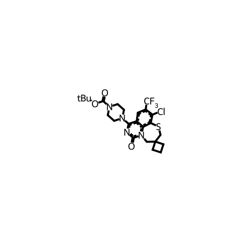 CC(C)(C)OC(=O)N1CCN(c2nc(=O)n3c4c(c(Cl)c(C(F)(F)F)cc24)SCC2(CCC2)C3)CC1